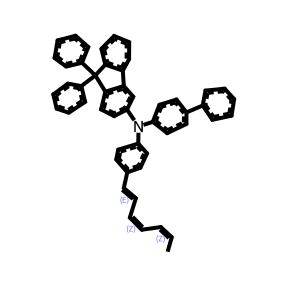 C\C=C/C=C\C=C\c1ccc(N(c2ccc(-c3ccccc3)cc2)c2ccc3c(c2)-c2ccccc2C3(c2ccccc2)c2ccccc2)cc1